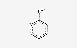 [CH2]CCc1ccccn1